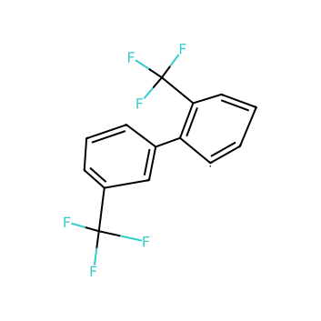 FC(F)(F)c1cccc(-c2[c]cccc2C(F)(F)F)c1